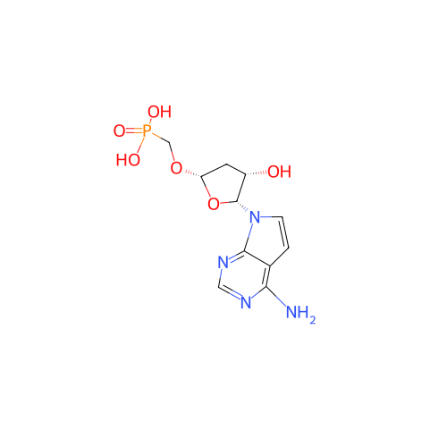 Nc1ncnc2c1ccn2[C@@H]1O[C@H](OCP(=O)(O)O)C[C@@H]1O